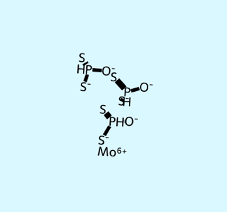 [Mo+6].[O-][PH](=S)[S-].[O-][PH](=S)[S-].[O-][PH](=S)[S-]